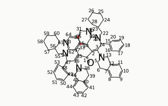 O=C(C1=C(N2CCc3ccccc3C2)C(c2ccccc2)N(CC2CCCCC2)c2ncccc21)C1=C(N2CCc3ccccc3C2)C(c2ccccc2)N(CC2CCCCC2)c2ncccc21